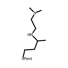 CCCCCCCC(C)NCCN(C)C